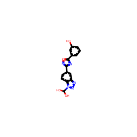 Oc1cccc(-c2nc(-c3ccc4c(c3)nnn4C(O)O)no2)c1